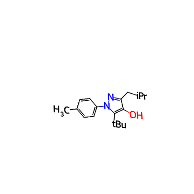 Cc1ccc(-n2nc(CC(C)C)c(O)c2C(C)(C)C)cc1